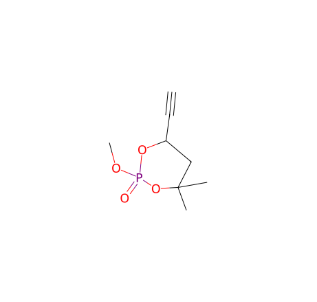 C#CC1CC(C)(C)OP(=O)(OC)O1